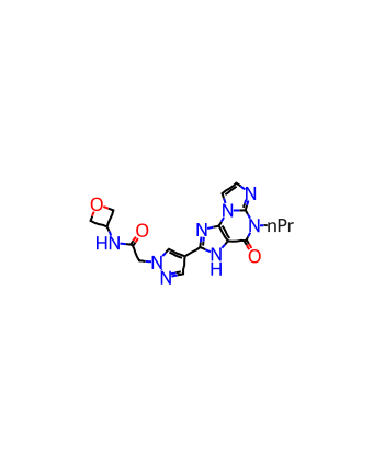 CCCn1c(=O)c2[nH]c(-c3cnn(CC(=O)NC4COC4)c3)nc2n2ccnc12